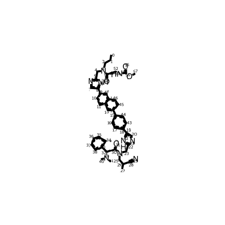 CCCN(Cc1ncc(-c2ccc3cc(-c4ccc(-c5cnc(CN(CC(C)C#N)C(=O)[C@@H](c6ccccc6)N(C)C)[nH]5)cc4)ccc3c2)[nH]1)C(=O)CNC(=O)OC